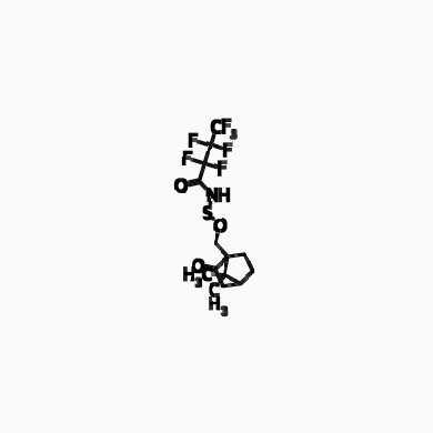 CC1(C)C2CCC1(COSNC(=O)C(F)(F)C(F)(F)C(F)(F)F)C(=O)C2